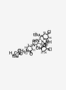 CC(C)(C)C[C@@H]1N[C@@H](C(O)Nc2ccn(CCO[Si](C)(C)C(C)(C)C)c(=O)c2)[C@H](c2cccc(Cl)c2F)[C@]12C(=O)Nc1cc(Cl)ccc12